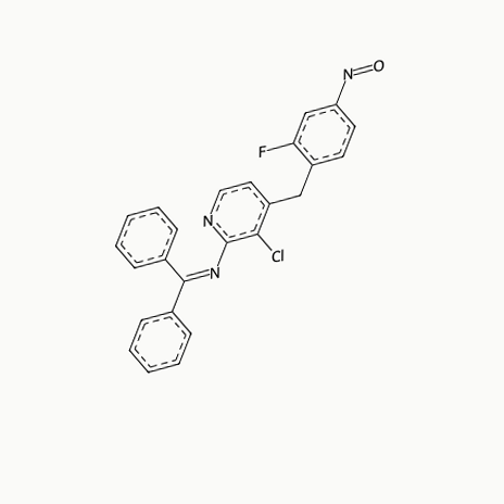 O=Nc1ccc(Cc2ccnc(N=C(c3ccccc3)c3ccccc3)c2Cl)c(F)c1